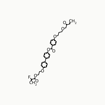 C=CC(=O)COCCCOc1ccc(C(=O)Oc2ccc(-c3ccc(OCCOC(=O)C(=C)F)cc3)cc2)cc1